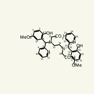 COc1ccc(O)c(C(c2ccccn2)N(CCN(CC(=O)O)[C@H](c2ccccn2)c2cc(OC)ccc2O)CC(=O)O)c1